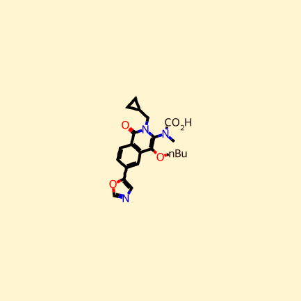 CCCCOc1c(N(C)C(=O)O)n(CC2CC2)c(=O)c2ccc(-c3cnco3)cc12